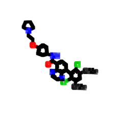 COc1cc(OC)c(Cl)c(-c2ccc(C(=O)Nc3ccc(OCCN4CCCC4)cc3)c3nccnc23)c1Cl